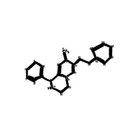 C=C1C=C2C(c3ccccc3)NCCN2C=C1CCc1ccccc1